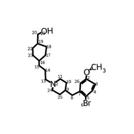 COc1ccc(Br)c(CC2CCN(CCCC3CCC(CO)CC3)CC2)c1